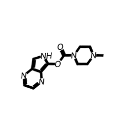 CN1CCN(C(=O)Oc2[nH]cc3nccnc23)CC1